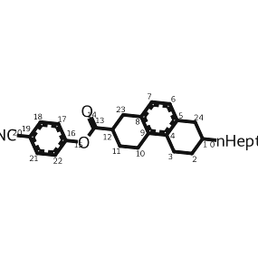 CCCCCCCC1CCc2c(ccc3c2CCC(C(=O)Oc2ccc(C#N)cc2)C3)C1